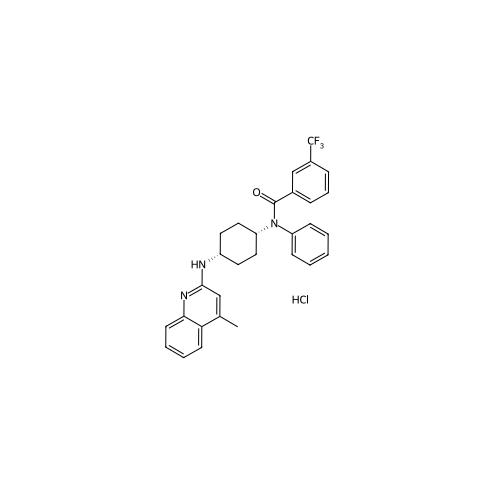 Cc1cc(N[C@H]2CC[C@@H](N(C(=O)c3cccc(C(F)(F)F)c3)c3ccccc3)CC2)nc2ccccc12.Cl